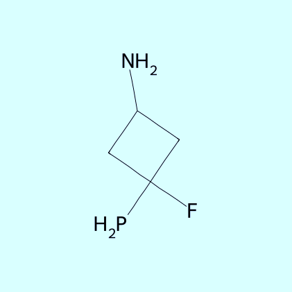 NC1CC(F)(P)C1